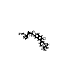 CC(C)Cn1nccc1C1CC1C(=O)Nc1cc2cc(C3CCN([C@@]4(C)COC[C@H]4O)CC3)c(Cl)cc2cn1